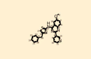 COc1ccc2nc(-c3cccnc3)nc(Nc3nc(Cc4ccccc4)cs3)c2c1